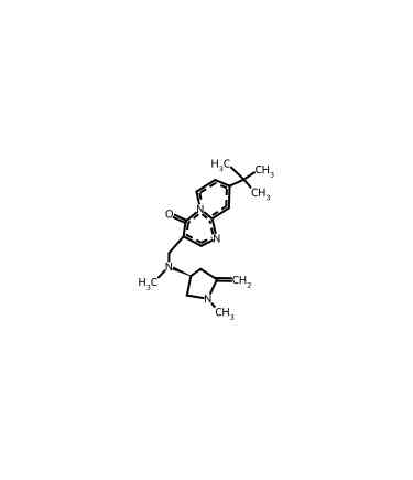 C=C1C[C@H](N(C)Cc2cnc3cc(C(C)(C)C)ccn3c2=O)CN1C